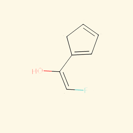 O/C(=C/F)C1=CC=CC1